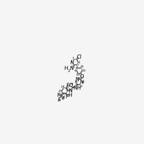 Nc1ncc(Cl)cc1-c1ccc(Oc2ncc(NC(=O)Nc3c(F)ccc(C(F)(F)F)c3F)cn2)cc1